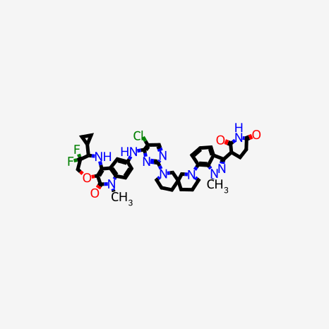 Cn1nc(C2CCC(=O)NC2=O)c2cccc(N3CCCC4(CCCN(c5ncc(Cl)c(Nc6ccc7c(c6)c6c(c(=O)n7C)OCC(F)(F)C(C7CC7)N6)n5)C4)C3)c21